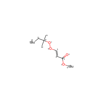 [C]C(C)(C)OC(=O)C=COOC(C)(C)CC(C)(C)C